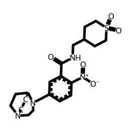 O=C(NCC1CCS(=O)(=O)CC1)c1cc(N2CCN3CCC2CC3)ccc1[N+](=O)[O-]